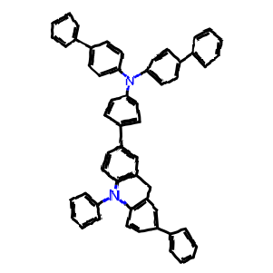 c1ccc(-c2ccc(N(c3ccc(-c4ccccc4)cc3)c3ccc(-c4ccc5c(c4)Cc4cc(-c6ccccc6)ccc4N5c4ccccc4)cc3)cc2)cc1